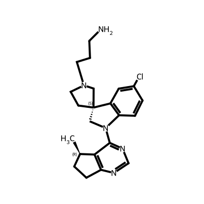 C[C@@H]1CCc2ncnc(N3C[C@@]4(CCN(CCCN)C4)c4cc(Cl)ccc43)c21